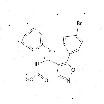 O=C(O)N[C@H](Cc1ccccc1)c1cnoc1-c1ccc(Br)cc1